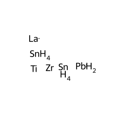 [La].[PbH2].[SnH4].[SnH4].[Ti].[Zr]